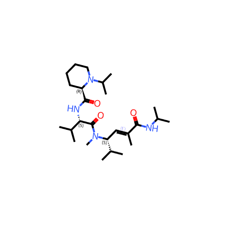 C/C(=C\[C@H](C(C)C)N(C)C(=O)[C@@H](NC(=O)[C@H]1CCCCN1C(C)C)C(C)C)C(=O)NC(C)C